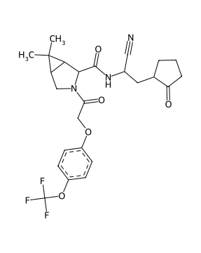 CC1(C)C2CN(C(=O)COc3ccc(OC(F)(F)F)cc3)C(C(=O)NC(C#N)CC3CCCC3=O)C21